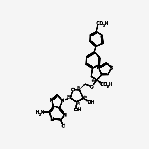 Nc1nc(Cl)nc2c1ncn2[C@@H]1O[C@H](CO[C@@](Cc2ccc(-c3ccc(C(=O)O)cc3)cc2)(C(=O)O)c2cscn2)[C@@H](O)[C@H]1O